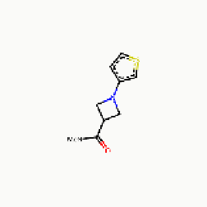 CNC(=O)C1CN(c2ccsc2)C1